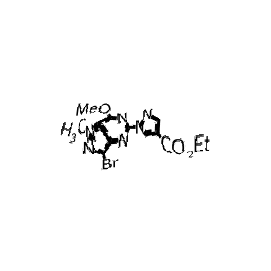 CCOC(=O)c1cnn(-c2nc(OC)c3c(n2)c(Br)nn3C)c1